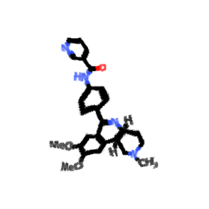 COc1cc2c(cc1OC)[C@H]1CN(C)CC[C@H]1N=C2c1ccc(NC(=O)c2cccnc2)cc1